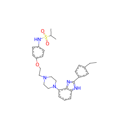 CCc1ccc(-c2nc3c(N4CCN(CCOc5ccc(NS(=O)(=O)C(C)C)cc5)CC4)cccc3[nH]2)cc1